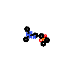 O=P1(c2ccccc2)c2ccccc2Oc2ccc(-c3ccc(-c4nc(-c5ccccc5)nc(-c5ccccc5)n4)nc3)cc21